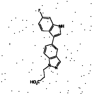 O=C(O)CCn1ncc2cc(-c3c[nH]c4cc(F)ccc34)ccc21